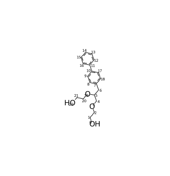 OCCOCC(Cc1ccc(-c2ccccc2)cc1)OCCO